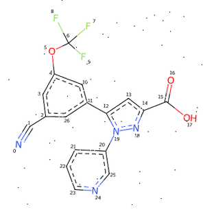 N#Cc1cc(OC(F)(F)F)cc(-c2cc(C(=O)O)nn2-c2cccnc2)c1